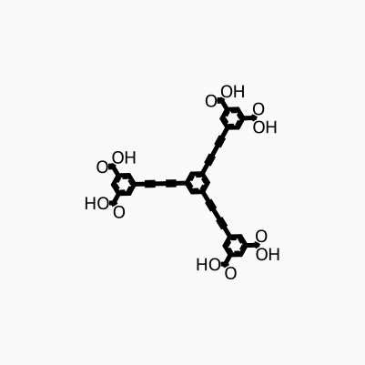 O=C(O)c1cc(C#CC#Cc2cc(C#CC#Cc3cc(C(=O)O)cc(C(=O)O)c3)cc(C#CC#Cc3cc(C(=O)O)cc(C(=O)O)c3)c2)cc(C(=O)O)c1